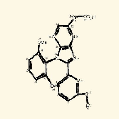 CCOc1cccc(-c2nc3nc(NC(=O)O)cnc3n2-c2c(OC)cccc2OC)n1